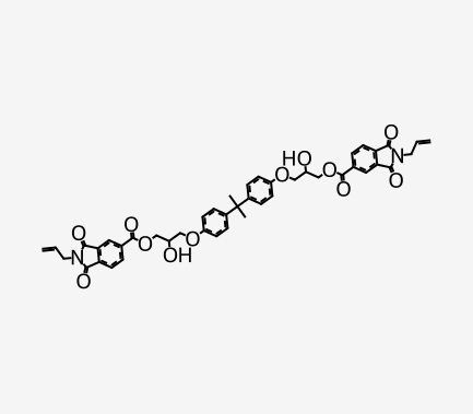 C=CCN1C(=O)c2ccc(C(=O)OCC(O)COc3ccc(C(C)(C)c4ccc(OCC(O)COC(=O)c5ccc6c(c5)C(=O)N(CC=C)C6=O)cc4)cc3)cc2C1=O